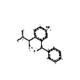 Br.CCCC(c1ccccc1C(CC)c1ccccc1)N(C)C